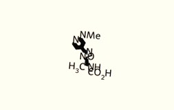 CNc1cc(-c2noc([C@H](C)NC(=O)O)n2)ccn1